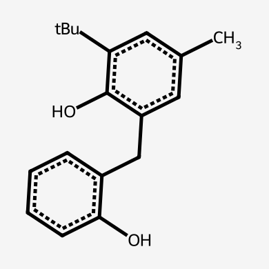 Cc1cc(Cc2ccccc2O)c(O)c(C(C)(C)C)c1